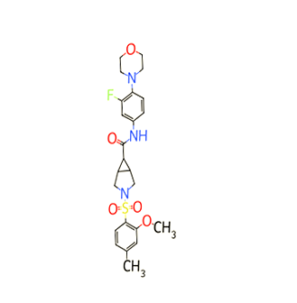 COc1cc(C)ccc1S(=O)(=O)N1CC2C(C1)C2C(=O)Nc1ccc(N2CCOCC2)c(F)c1